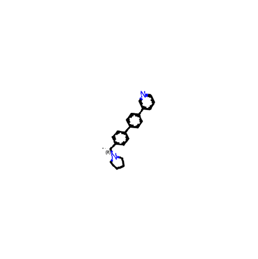 C[C@H](c1ccc(-c2ccc(-c3cccnc3)cc2)cc1)N1CCCC1